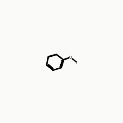 IOC1=CC=CCC1